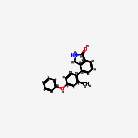 Cc1cc(Oc2ccccc2)ccc1-c1cccc2c1CNC2=O